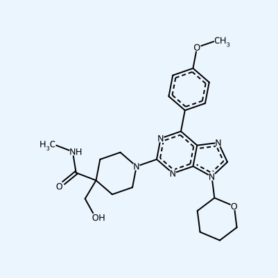 CNC(=O)C1(CO)CCN(c2nc(-c3ccc(OC)cc3)c3ncn(C4CCCCO4)c3n2)CC1